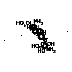 C[C@]12CC[C@H](O[C@H]3O[C@@H](CO)[C@H](O)[C@@H](N)[C@@H]3O)C[C@H]1CC[C@@H]1[C@@H]2CC[C@]2(C)[C@@H]3CC[C@]12O[C@@H](N)[C@H]3CC(=O)O